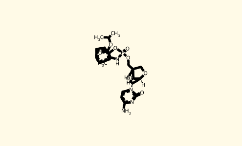 CC(C)OC(=O)[C@H](C)NP(=O)(OCC12CO[C@@H]([C@H](n3ccc(N)nc3=O)O1)[C@@H]2O)Oc1ccccc1